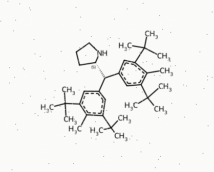 Cc1c(C(C)(C)C)cc(C(c2cc(C(C)(C)C)c(C)c(C(C)(C)C)c2)[C@@H]2CCCN2)cc1C(C)(C)C